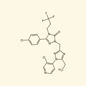 CCc1nc(Cn2nc(-c3ccc(Cl)cc3)n(CCC(F)(F)F)c2=O)nn1-c1ccncc1Cl